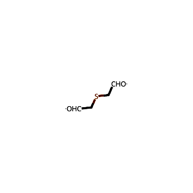 O=[C]CSC[C]=O